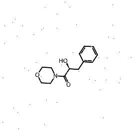 O=C([C@@H](O)Cc1ccccc1)N1CCOCC1